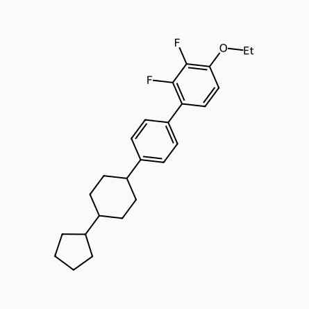 CCOc1ccc(-c2ccc(C3CCC(C4CCCC4)CC3)cc2)c(F)c1F